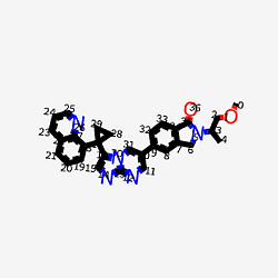 COCC(C)N1Cc2cc(-c3cnc4ncc(C5(c6cccc7cccnc67)CC5)n4c3)ccc2C1=O